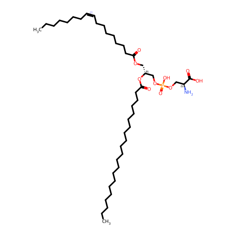 CCCCCCC/C=C\CCCCCCCC(=O)OC[C@H](COP(=O)(O)OC[C@H](N)C(=O)O)OC(=O)CCCCCCCCCCCCCCCCCCCC